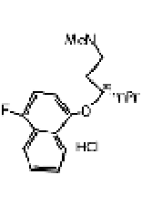 CCC[C@@H](CCNC)Oc1ccc(F)c2ccccc12.Cl